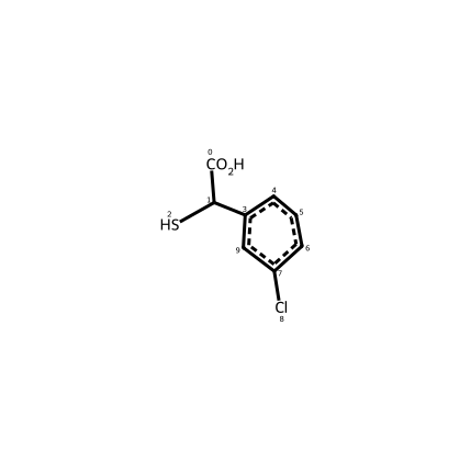 O=C(O)C(S)c1cccc(Cl)c1